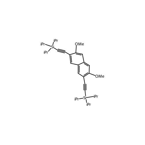 COc1cc2cc(OC)c(C#C[Si](C(C)C)(C(C)C)C(C)C)cc2cc1C#C[Si](C(C)C)(C(C)C)C(C)C